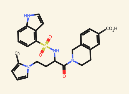 N#Cc1cccn1CCC(NS(=O)(=O)c1cccc2[nH]ccc12)C(=O)N1CCc2cc(C(=O)O)ccc2C1